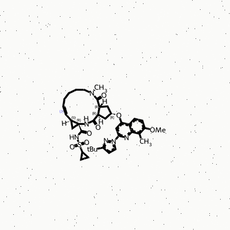 COc1ccc2c(O[C@@H]3C[C@H]4C(=O)N[C@]5(C(=O)NS(=O)(=O)C6CC6)C[C@H]5/C=C\CCCCN(C)C(=O)[C@@H]4C3)cc(-n3ccc(C(C)(C)C)n3)nc2c1C